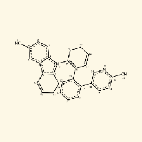 N#Cc1ccc2c(c1)c1c(n2C2=C(c3ccccc3-c3ccc(C#N)nc3)C=CCC2)CCC=C1